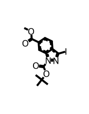 COC(=O)c1ccc2c(I)nn(C(=O)OC(C)(C)C)c2c1